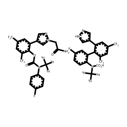 [2H]C([2H])([2H])N(C(=O)O)c1ccc(F)cc1-c1c(-c2cn[nH]c2)cc(C(F)(F)F)cc1C(F)(F)F.[2H]C([2H])([2H])N(C(=O)Oc1c(-c2cnn(CC(N)=O)c2)cc(C(F)(F)F)cc1C(F)(F)F)c1ccc(F)cc1